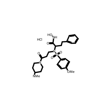 CNC1CCN(C(=O)CCN(C(CCc2ccccc2)C(=O)NO)S(=O)(=O)c2ccc(OC)cc2)CC1.Cl